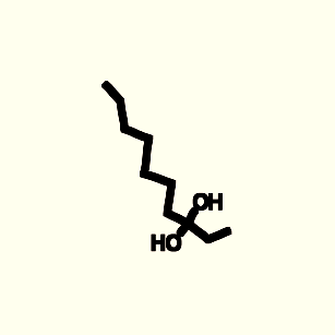 CCCCCCCC(O)(O)CC